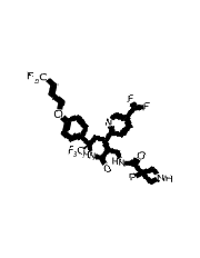 O=C1N[C@@](c2ccc(OCCCC(F)(F)F)cc2)(C(F)(F)F)CC(c2ccc(C(F)F)cn2)=C1CNC(=O)C1(F)CNC1